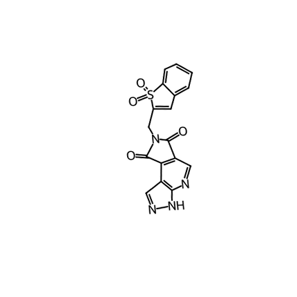 O=C1c2cnc3[nH]ncc3c2C(=O)N1CC1=Cc2ccccc2S1(=O)=O